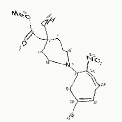 COC(=O)C1(O)CCN(C2CC(Br)=CC=C2[N+](=O)[O-])CC1